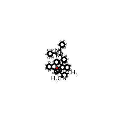 Cc1cnc(C)c(-c2ccc(-c3ccccc3-c3cccc(C4(c5cccc(-c6nc(-c7ccccc7)nc(-c7ccccc7)n6)c5)c5ccccc5-c5ccccc54)c3)cc2)c1